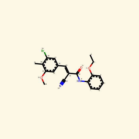 CCOc1ccccc1NC(=O)/C(C#N)=C/c1cc(Br)c(C)c(OC)c1